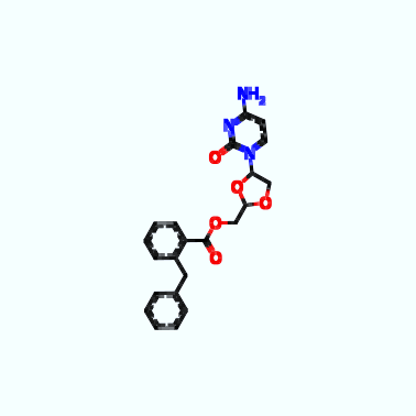 Nc1ccn(C2COC(COC(=O)c3ccccc3Cc3ccccc3)O2)c(=O)n1